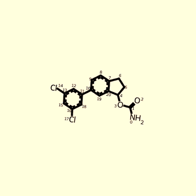 NC(=O)OC1CCc2ccc(-c3cc(Cl)cc(Cl)c3)cc21